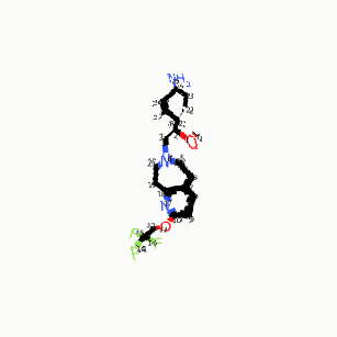 CO[C@@H](CN1CCc2ccc(OCC(F)(F)F)nc2CC1)[C@H]1CC[C@H](N)CC1